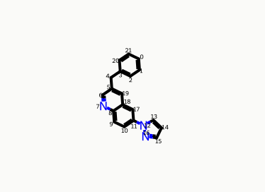 c1ccc(Cc2cnc3ccc(-n4cccn4)cc3c2)cc1